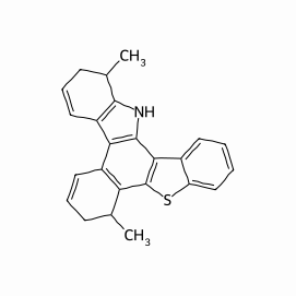 CC1CC=Cc2c1[nH]c1c2c2c(c3sc4ccccc4c31)C(C)CC=C2